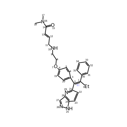 CC/C(=C(/c1ccc(OCCNCC=CC(=O)N(C)C)cc1)c1ccc2[nH]ncc2n1)c1ccccc1